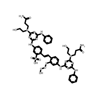 NC(=O)CCN(CCO)c1nc(Nc2ccccc2)nc(Nc2ccc(/C=C/c3ccc(Nc4nc(Nc5ccccc5)nc(N(CCO)CCC(N)=O)n4)cc3S(=O)(=O)O)c(SOOO)c2)n1